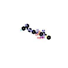 CN(C)CC[C@H](CSc1ccccc1)Nc1ccc(S(=O)(=O)NC(=O)c2ccc(N3CCN(Cc4cccnc4-c4ccc(F)cc4)CC3)cc2)cc1[N+](=O)O